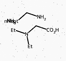 CCCCCCCCN.CCN(CC)CC(=O)O.N